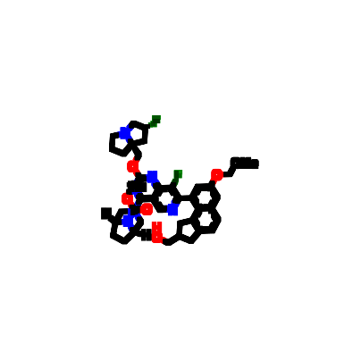 COCOc1cc(-c2ncc3c(N4C[C@H]5CC[C@@H](C4)N5C(=O)OC(C)(C)C)nc(OC[C@@]45CCCN4C[C@H](F)C5)nc3c2F)c2c3c(ccc2c1)CC(CO)C3